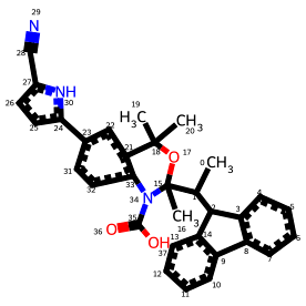 CC(C1c2ccccc2-c2ccccc21)C1(C)OC(C)(C)c2cc(-c3ccc(C#N)[nH]3)ccc2N1C(=O)O